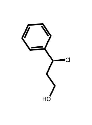 OCC[C@H](Cl)c1ccccc1